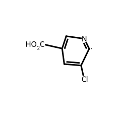 O=C(O)c1cn[c]c(Cl)c1